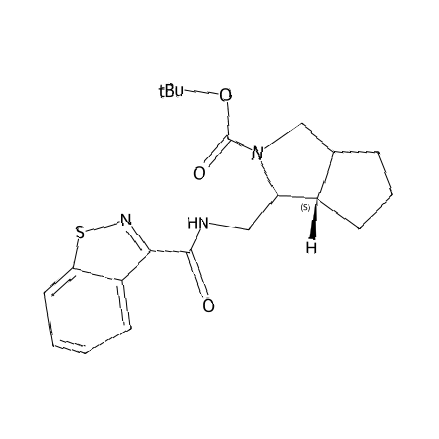 CC(C)(C)OC(=O)N1CC2CCC[C@@H]2C1CNC(=O)c1nsc2ccccc12